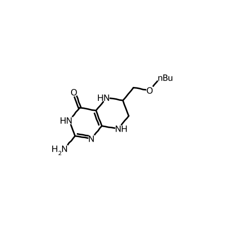 CCCCOCC1CNc2nc(N)[nH]c(=O)c2N1